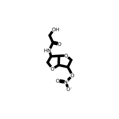 O=C(CO)NC1COC2C(O[N+](=O)[O-])COC12